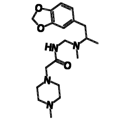 CC(Cc1ccc2c(c1)OCO2)N(C)CNC(=O)CN1CCN(C)CC1